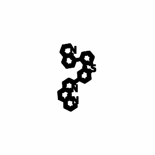 c1cnc2c(-c3cccc4sc5ccc(-c6ccc7ccc8cccnc8c7n6)cc5c34)cccc2c1